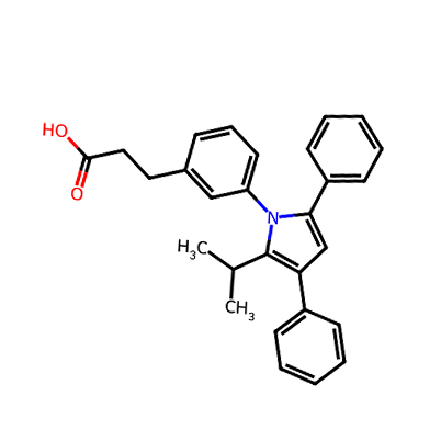 CC(C)c1c(-c2ccccc2)cc(-c2ccccc2)n1-c1cccc(CCC(=O)O)c1